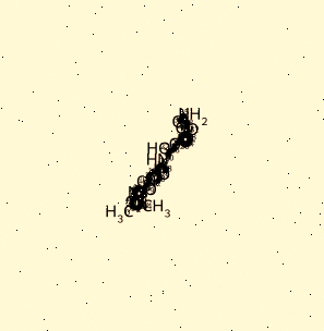 C[C@H]1CN(C)c2cc(S(=O)(=O)N3CCC4(CC3)C[C@@H](NC[C@H](O)COc3cccc(S(=O)(=O)CC(N)=O)c3)CO4)cnc2O1